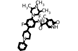 CC1CN(c2cc(F)c(C3=CCN(c4ccccc4)CC3)cc2NC(=O)c2c[nH]c(=O)cc2C(F)(F)F)CC(C)N1C